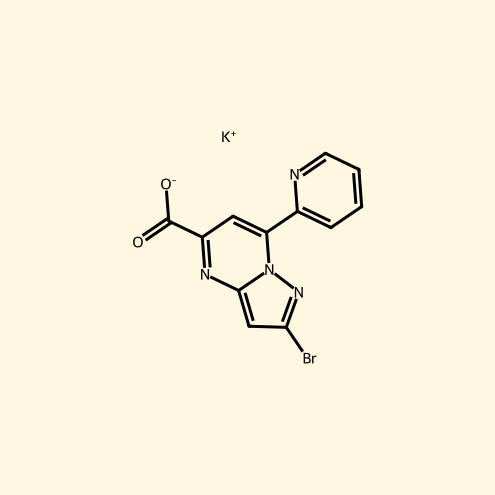 O=C([O-])c1cc(-c2ccccn2)n2nc(Br)cc2n1.[K+]